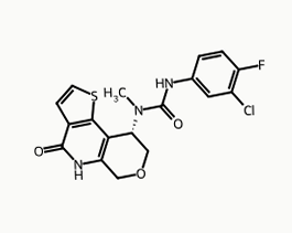 CN(C(=O)Nc1ccc(F)c(Cl)c1)[C@@H]1COCc2[nH]c(=O)c3ccsc3c21